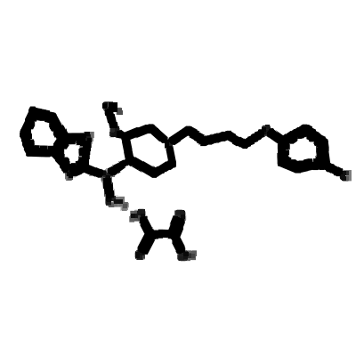 CO[C@H]1CN(CCCCOc2ccc(Cl)cc2)CC[C@H]1N(C)c1nc2ccccc2s1.O=C(O)C(=O)O